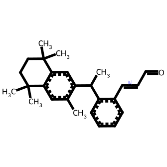 Cc1cc2c(cc1C(C)c1ccccc1/C=C/C=O)C(C)(C)CCC2(C)C